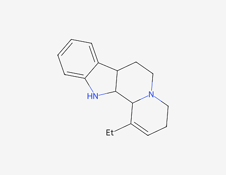 CCC1=CCCN2CCC3c4ccccc4NC3C12